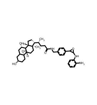 C[C@H](CCC(=O)NCc1ccc(C2OC2Nc2ccccc2N)cc1)[C@H]1CC[C@H]2C3[C@@H](O)CC4C[C@H](O)CC[C@]4(C)[C@H]3CC[C@]12C